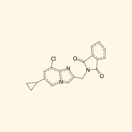 O=C1c2ccccc2C(=O)N1Cc1cn2cc(C3CC3)cc(Cl)c2n1